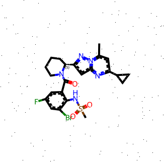 Cc1cc(C2CC2)nc2cc([C@@H]3CCCCN3C(=O)c3cc(F)cc(Br)c3NS(C)(=O)=O)nn12